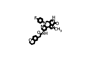 Cn1cc2c3c(c[nH]c(=O)c31)CN(c1ccc(F)cc1)c1ncc(NC(=O)Cc3ccc4c(c3)CCCO4)cc1-2